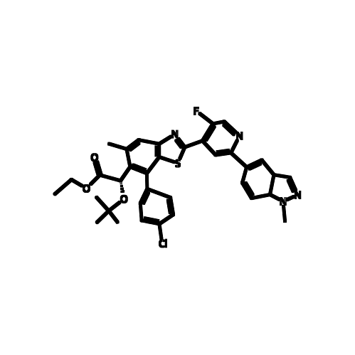 CCOC(=O)[C@@H](OC(C)(C)C)c1c(C)cc2nc(-c3cc(C4=CC5C=NN(C)C5C=C4)ncc3F)sc2c1-c1ccc(Cl)cc1